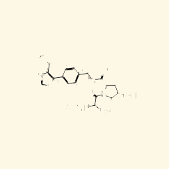 CC(=O)NC(C(=O)N1C[C@H](O)C[C@H]1C(=O)NCc1ccc(-c2scnc2CO)cc1)C(C)(C)C